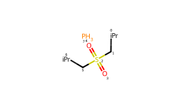 CC(C)CS(=O)(=O)CC(C)C.P